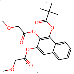 COCC(=O)Oc1cc2ccccc2c(OC(=O)C(C)(C)C)c1OC(=O)COC